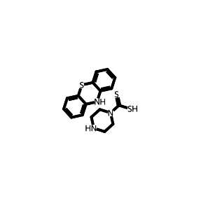 S=C(S)N1CCNCC1.c1ccc2c(c1)Nc1ccccc1S2